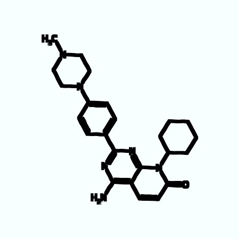 CN1CCN(c2ccc(-c3nc(N)c4ccc(=O)n(C5CCCCC5)c4n3)cc2)CC1